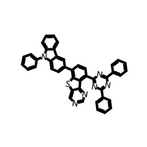 c1ccc(-c2nc(-c3ccccc3)nc(-c3ccc(-c4ccc5c(c4)c4ccccc4n5-c4ccccc4)c4sc5cncnc5c34)n2)cc1